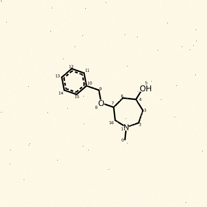 CN1CCC(O)CC(OCc2ccccc2)C1